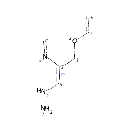 C=COC/C(=C/NN)N=C